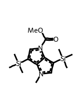 COC(=O)n1cc([Si](C)(C)C)c2c1c([Si](C)(C)C)cn2C